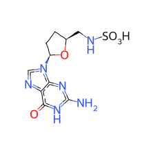 Nc1nc2c(ncn2[C@H]2CC[C@@H](CNS(=O)(=O)O)O2)c(=O)[nH]1